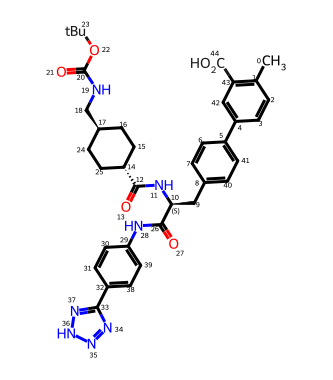 Cc1ccc(-c2ccc(C[C@H](NC(=O)[C@H]3CC[C@H](CNC(=O)OC(C)(C)C)CC3)C(=O)Nc3ccc(-c4nn[nH]n4)cc3)cc2)cc1C(=O)O